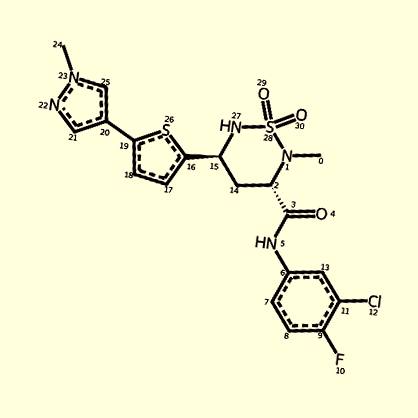 CN1[C@H](C(=O)Nc2ccc(F)c(Cl)c2)C[C@@H](c2ccc(-c3cnn(C)c3)s2)NS1(=O)=O